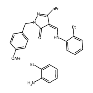 CCCC1=NN(Cc2ccc(OC)cc2)C(=O)C1=CNc1ccccc1CC.CCc1ccccc1N